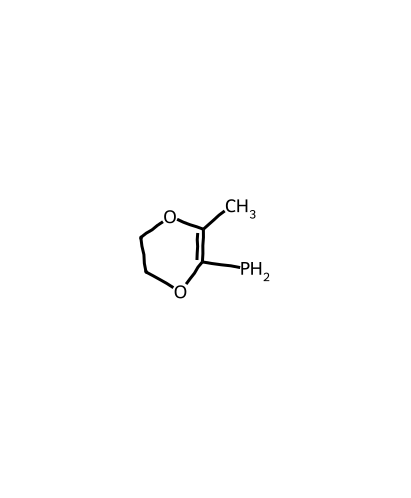 CC1=C(P)OCCO1